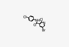 O=C(Nc1ccc(Cl)cc1)c1cc(Br)cnc1Cl